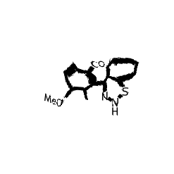 COc1ccc(C(=O)O)c(C2=NNSc3ccccc32)c1C